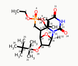 CCOP(=O)(CC1c2c(C)c(=O)[nH]c(=O)n2[C@H]2CC(O[Si](C)(C)C(C)(C)C)C1O2)OCC